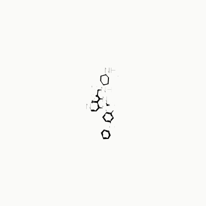 Cc1cc(Oc2ccccc2)ccc1N1C(=O)Nc2c(C(=O)N[C@H]3CC[C@@H](N)CC3)sc3nccc1c23